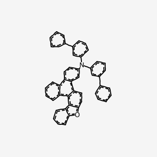 c1ccc(-c2cccc(N(c3cccc(-c4ccccc4)c3)c3ccc4c5ccccc5c5c(ccc6oc7ccccc7c65)c4c3)c2)cc1